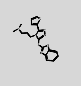 CN(C)CCCn1c(Sc2nc3ccccc3s2)nnc1-c1cccs1